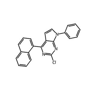 Clc1nc(-c2cccc3ccccc23)c2ccn(-c3ccccc3)c2n1